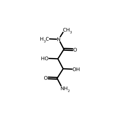 CN(C)C(=O)C(O)C(O)C(N)=O